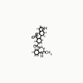 CC1CCN(C(=O)c2ccc(-c3ccc4[nH]ccc4c3)c([N+](=O)[O-])c2)c2ccccc2N1